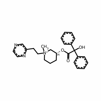 C[N+]1(CCc2cnccn2)CCC[C@@H](OC(=O)C(O)(c2ccccc2)c2ccccc2)C1